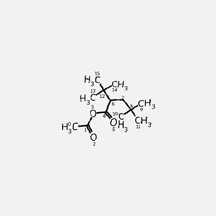 CC(=O)OC(=O)C(CC(C)(C)C)C(C)(C)C